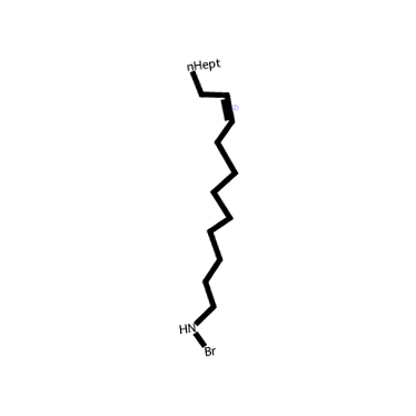 CCCCCCCC/C=C\CCCCCCCCNBr